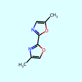 Cc1coc(-c2ncc(C)o2)n1